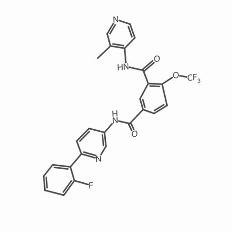 Cc1cnccc1NC(=O)c1cc(C(=O)Nc2ccc(-c3ccccc3F)nc2)ccc1OC(F)(F)F